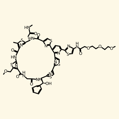 CNC(=O)C[C@@H]1NC(=O)c2csc(n2)-c2ccc(-c3nc(NC(=O)COCCOCCOC)cs3)nc2-c2csc(n2)-c2csc(n2)[C@H]([C@@H](O)c2ccccc2)NC(=O)CNC(=O)c2nc(sc2COC)NC(=O)c2nc1sc2C